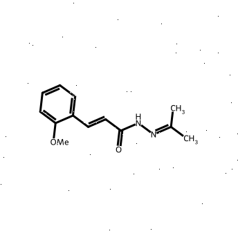 COc1ccccc1C=CC(=O)NN=C(C)C